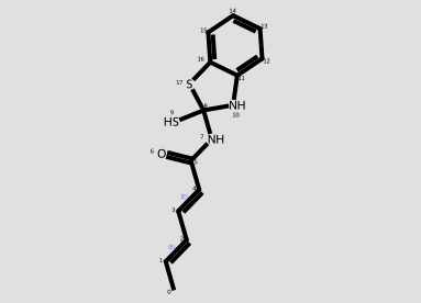 C/C=C/C=C/C(=O)NC1(S)Nc2ccccc2S1